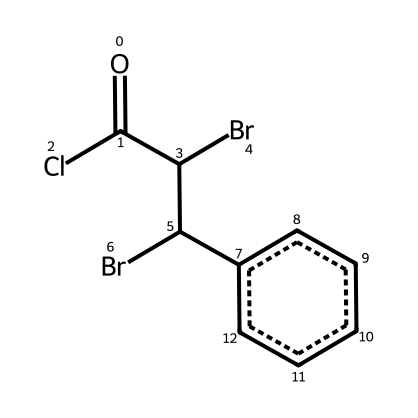 O=C(Cl)C(Br)C(Br)c1ccccc1